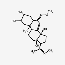 C/N=C(/C)C1CC[C@@]2(O)C3=C/C(=N\OC)C4C[C@@H](O)C(O)CC4(C)C3CCC12C